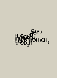 C/C(=C\[C@H](C(C)C)N(C)C(=O)[C@@H](NC(=O)[C@@H](N(C)O)C(C)(C)c1ccc(C(=O)OC(C)(C)C)cc1)C(C)(C)C)C(=O)O